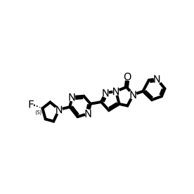 O=C1N(c2cccnc2)Cc2cc(-c3cnc(N4CC[C@H](F)C4)cn3)nn21